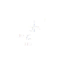 O=C(Nc1nc(-c2sc(CO)nc2CO)cs1)[C@H]1C[C@H](F)C1